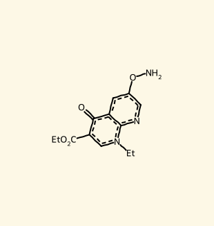 CCOC(=O)c1cn(CC)c2ncc(ON)cc2c1=O